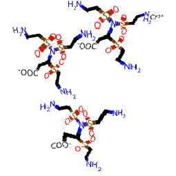 NCCS(=O)(=O)C(CC(=O)[O-])N(S(=O)(=O)CCN)S(=O)(=O)CCN.NCCS(=O)(=O)C(CC(=O)[O-])N(S(=O)(=O)CCN)S(=O)(=O)CCN.NCCS(=O)(=O)C(CC(=O)[O-])N(S(=O)(=O)CCN)S(=O)(=O)CCN.[Cr+3]